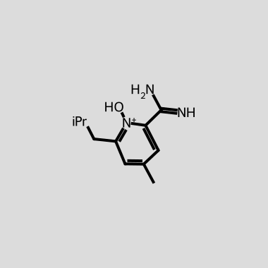 Cc1cc(CC(C)C)[n+](O)c(C(=N)N)c1